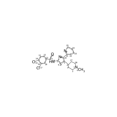 CN1CCC(c2sc(NC(=O)c3ccc(Cl)c(Cl)c3)nc2-c2ccccn2)CC1